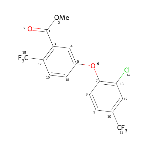 COC(=O)c1cc(Oc2ccc(C(F)(F)F)cc2Cl)ccc1C(F)(F)F